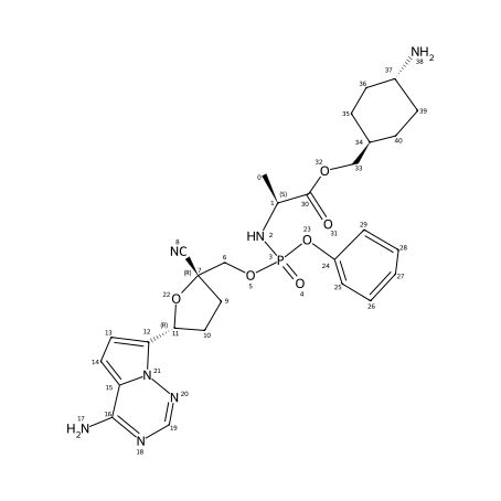 C[C@H](NP(=O)(OC[C@]1(C#N)CC[C@H](c2ccc3c(N)ncnn23)O1)Oc1ccccc1)C(=O)OC[C@H]1CC[C@H](N)CC1